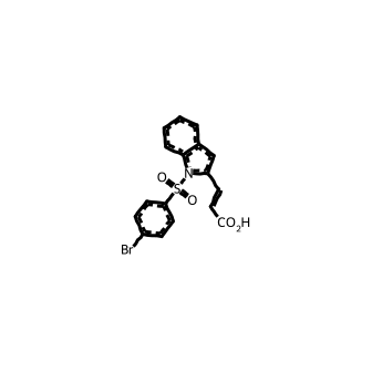 O=C(O)C=Cc1cc2ccccc2n1S(=O)(=O)c1ccc(Br)cc1